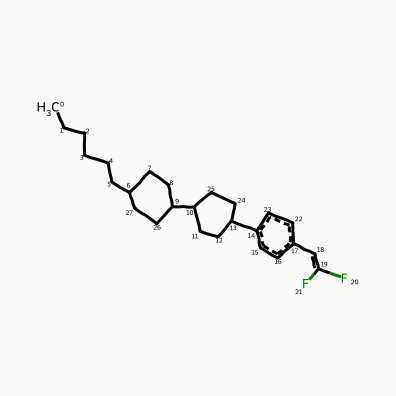 CCCCCCC1CCC(C2CCC(c3ccc(C=C(F)F)cc3)CC2)CC1